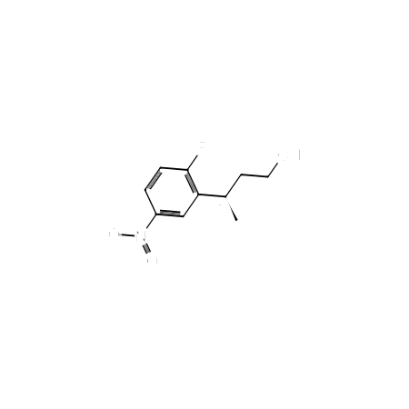 C[C@H](CCO)c1cc([N+](=O)[O-])ccc1F